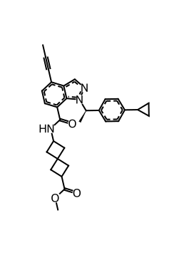 CC#Cc1ccc(C(=O)NC2CC3(C2)CC(C(=O)OC)C3)c2c1cnn2[C@H](C)c1ccc(C2CC2)cc1